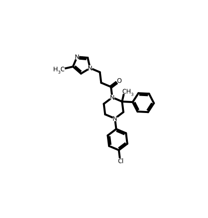 Cc1cn(CCC(=O)N2CCN(c3ccc(Cl)cc3)CC2(C)c2ccccc2)cn1